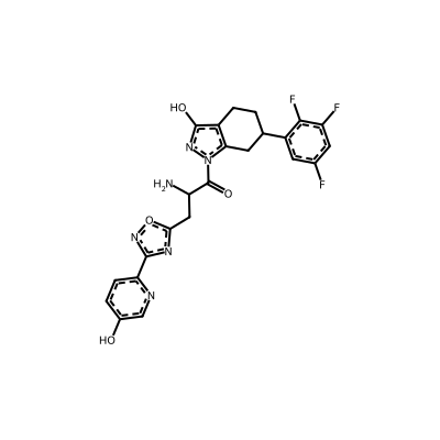 NC(Cc1nc(-c2ccc(O)cn2)no1)C(=O)n1nc(O)c2c1CC(c1cc(F)cc(F)c1F)CC2